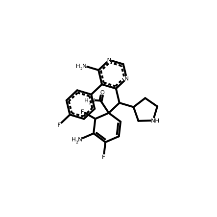 NC(=O)C1(C(c2ncnc(N)c2-c2ccc(F)cc2)C2CCNC2)C=CC(F)=C(N)C1F